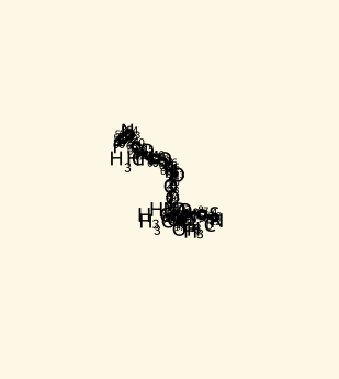 Cc1ncsc1-c1ccc(CNC(=O)[C@@H]2C[C@@H](O)CN2C(=O)[C@@H](NCCOCCOCCC(=O)N2CCC(Oc3ccc(NC(=O)[C@H](C)[C@H]4CC[C@@H](c5ccnc6ccc(F)cc65)CC4)cc3)CC2)C(C)(C)C)cc1